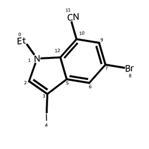 CCn1cc(I)c2cc(Br)cc(C#N)c21